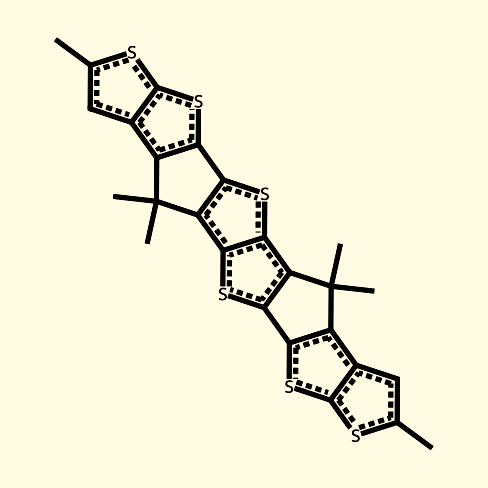 Cc1cc2c3c(sc2s1)-c1sc2c4c(sc2c1C3(C)C)-c1sc2sc(C)cc2c1C4(C)C